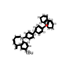 C=C1/C=C\C=C/N(c2ccc(-c3ccc(N4C5=C(C=CCC5)C5=CCC4C=C5)cc3)cc2)c2ccc(C(C)(C)C)cc21